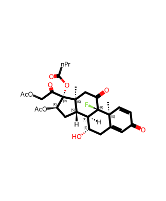 CCCC(=O)O[C@@]1(C(=O)COC(C)=O)[C@H](OC(C)=O)C[C@H]2[C@@H]3[C@@H](O)CC4=CC(=O)C=C[C@]4(C)[C@@]3(F)C(=O)C[C@@]21C